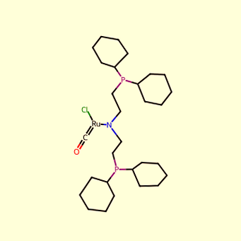 O=[C]=[Ru]([Cl])[N](CCP(C1CCCCC1)C1CCCCC1)CCP(C1CCCCC1)C1CCCCC1